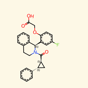 O=C(O)COc1ccc(F)cc1[C@@H]1c2ccccc2CCN1C(=O)[C@H]1C[C@@H]1c1ccccc1